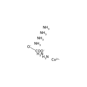 N.N.N.N.N.N.O=C([O-])[O-].[Co+2]